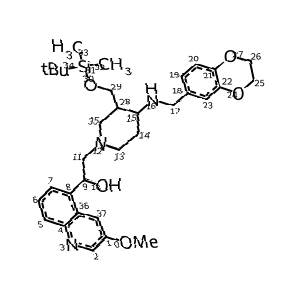 COc1cnc2cccc(C(O)CN3CCC(NCc4ccc5c(c4)OCCO5)C(CO[Si](C)(C)C(C)(C)C)C3)c2c1